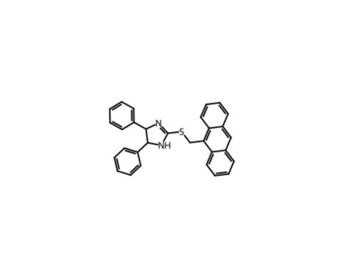 c1ccc(C2N=C(SCc3c4ccccc4cc4ccccc34)NC2c2ccccc2)cc1